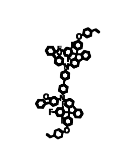 C=CC1=CC=C(Oc2ccc(C3(c4c(F)cc(F)cc4F)c4ccccc4-c4ccc(N(c5ccc(-c6ccc(N(c7ccc8c(c7)C(c7ccc(Oc9ccc(C=C)cc9)cc7)(c7c(F)cc(F)cc7F)c7ccccc7-8)c7ccc8c(c7)oc7ccccc78)cc6)cc5)c5ccc6c(c5)oc5ccccc56)cc43)cc2)CC1